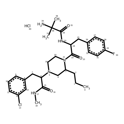 CCCC1CN(C(Cc2cccc(Cl)c2)C(=O)NC)CCN1C(=O)C(Cc1ccc(F)cc1)NC(=O)C(C)(C)N.Cl